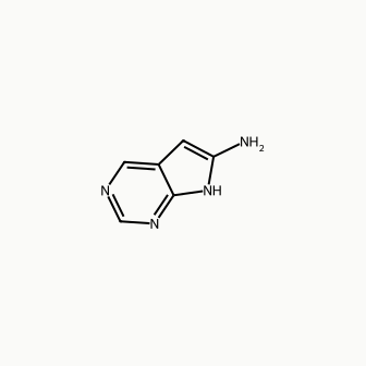 Nc1cc2cncnc2[nH]1